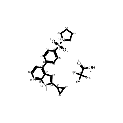 O=C(O)C(F)(F)F.O=S(=O)(c1ccc(-c2ccnc3[nH]c(C4CC4)cc23)cc1)N1CCCC1